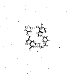 Nc1nc2c(ncn2COC(CO)CO)c(=O)[nH]1.O=c1[nH]cnc2c1ncn2[C@H]1CC[C@@H](CO)O1